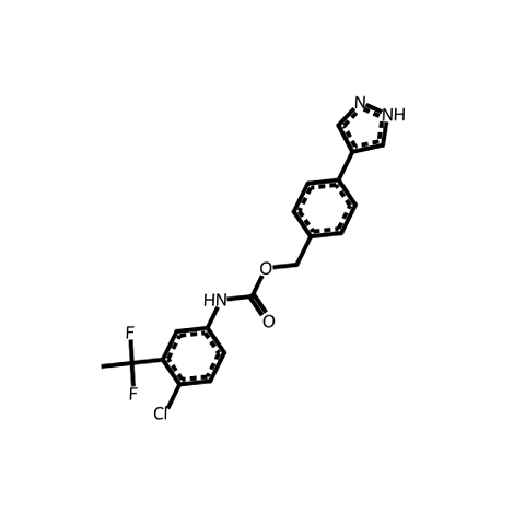 CC(F)(F)c1cc(NC(=O)OCc2ccc(-c3cn[nH]c3)cc2)ccc1Cl